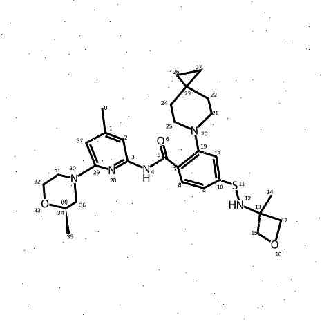 Cc1cc(NC(=O)c2ccc(SNC3(C)COC3)cc2N2CCC3(CC2)CC3)nc(N2CCO[C@H](C)C2)c1